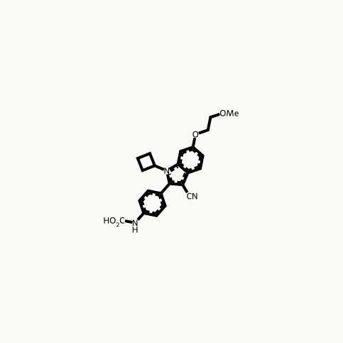 COCCOc1ccc2c(C#N)c(-c3ccc(NC(=O)O)cc3)n(C3CCC3)c2c1